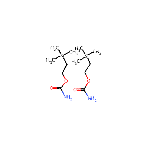 C[Si](C)(C)CCOC(N)=O.C[Si](C)(C)CCOC(N)=O